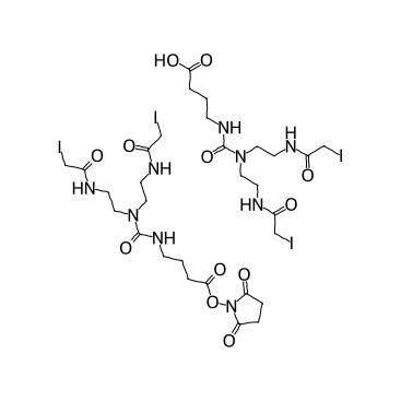 O=C(CI)NCCN(CCNC(=O)CI)C(=O)NCCCC(=O)ON1C(=O)CCC1=O.O=C(O)CCCNC(=O)N(CCNC(=O)CI)CCNC(=O)CI